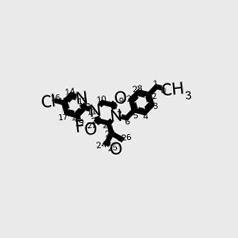 CCc1ccc(CN2C(=O)CN(c3ncc(Cl)cc3F)C(=O)C2C2COC2)cc1